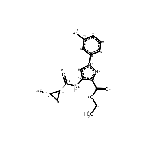 CCOC(=O)c1nn(-c2cccc(Br)c2)cc1NC(=O)[C@@H]1C[C@@H]1F